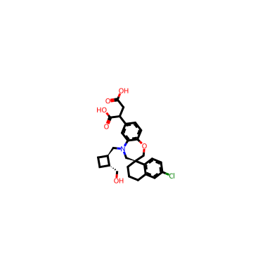 O=C(O)CC(C(=O)O)c1ccc2c(c1)N(C[C@@H]1CC[C@H]1CO)C[C@@]1(CCCc3cc(Cl)ccc31)CO2